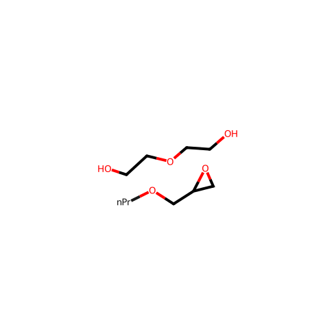 CCCOCC1CO1.OCCOCCO